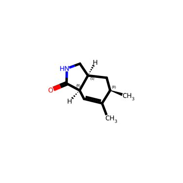 CC1=C[C@H]2C(=O)NC[C@H]2C[C@H]1C